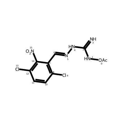 CC(=O)ONC(=N)NN=Cc1c(Cl)ccc(Cl)c1[N+](=O)[O-]